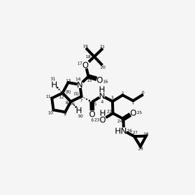 CCCC(NC(=O)[C@@H]1[C@H]2CCC[C@H]2CN1C(=O)OC(C)(C)C)C(O)C(=O)NC1CC1